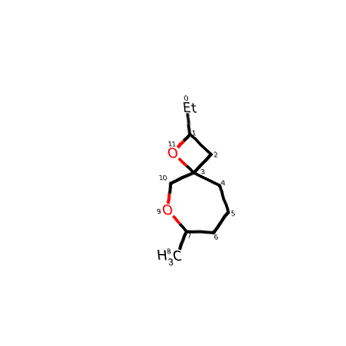 CCC1CC2(CCCC(C)OC2)O1